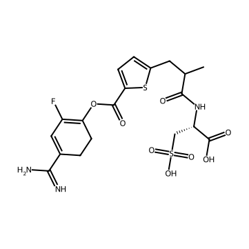 CC(Cc1ccc(C(=O)OC2=C(F)C=C(C(=N)N)CC2)s1)C(=O)N[C@@H](CS(=O)(=O)O)C(=O)O